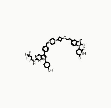 C[C@H](CC(F)(F)F)Nc1ncc2c(-c3ccc(CN4CCN(C5CC(OCCc6ccc7c(c6)n(C)c(=O)n7C6CCC(=O)NC6=O)C5)CC4)cc3)cn([C@H]3CC[C@H](O)CC3)c2n1